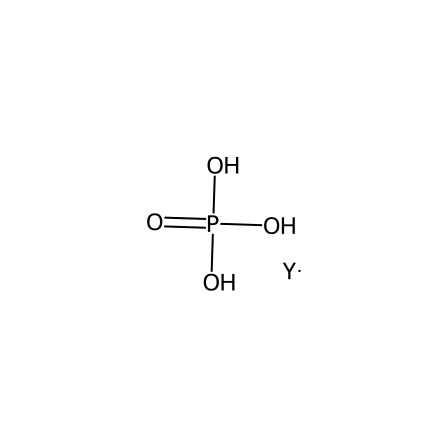 O=P(O)(O)O.[Y]